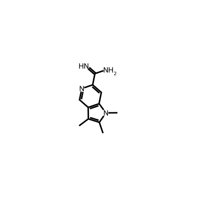 Cc1c(C)n(C)c2cc(C(=N)N)ncc12